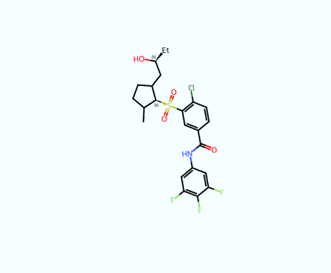 CC[C@H](O)CC1CCC(C)[C@@H]1S(=O)(=O)c1cc(C(=O)Nc2cc(F)c(F)c(F)c2)ccc1Cl